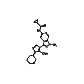 COc1c(-c2nn(C)c3cnc(NC(=O)C4CC4)cc23)cnn1[C@@H]1CCCOC1